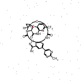 CC(=O)c1nn2c3c(cc(-c4cnc(C)nc4)cc13)CNC(=O)CCCCOC[C@@]13C[C@@H](C(=O)Nc4nc(C(F)(F)F)ccc4C)N(C(=O)C2)[C@@H]1C3